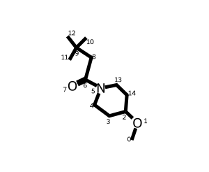 COC1CCN(C(=O)CC(C)(C)C)CC1